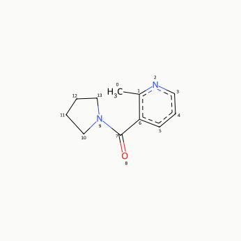 Cc1ncccc1C(=O)N1CCCC1